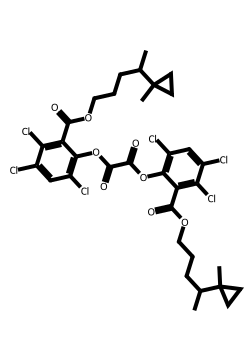 CC(CCCOC(=O)c1c(Cl)c(Cl)cc(Cl)c1OC(=O)C(=O)Oc1c(Cl)cc(Cl)c(Cl)c1C(=O)OCCCC(C)C1(C)CC1)C1(C)CC1